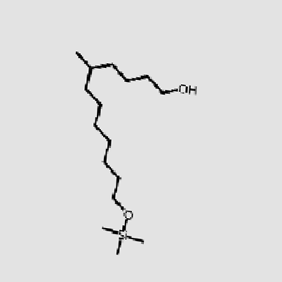 CC(CCCCO)CCCCCCCO[Si](C)(C)C